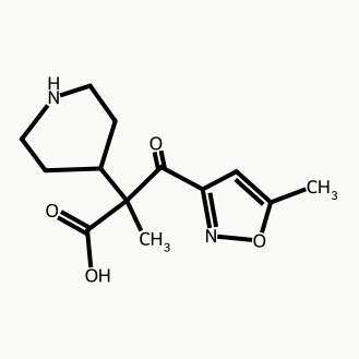 Cc1cc(C(=O)C(C)(C(=O)O)C2CCNCC2)no1